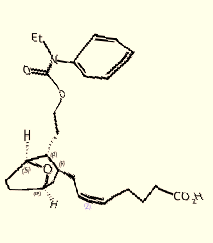 CCN(C(=O)OCC[C@@H]1[C@@H](C/C=C\CCCC(=O)O)[C@H]2CC[C@@H]1O2)c1ccccc1